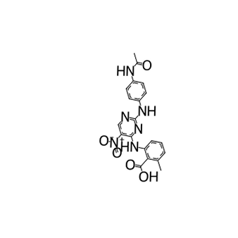 CC(=O)Nc1ccc(Nc2ncc([N+](=O)[O-])c(Nc3cccc(C)c3C(=O)O)n2)cc1